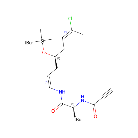 C#CC(=O)N[C@H](C(=O)N/C=C\C[C@H](C/C=C(\C)Cl)O[Si](C)(C)C(C)(C)C)C(C)(C)C